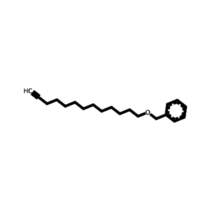 C#CCCCCCCCCCCCOCc1ccccc1